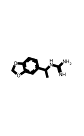 CC(NC(=N)N)c1ccc2c(c1)OCO2